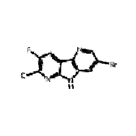 Fc1cc2c(nc1Cl)[nH]c1cc(Br)cnc12